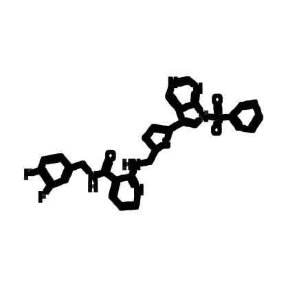 O=C(NCc1ccc(F)c(F)c1)c1cccnc1NCC1CC=C(c2cn(S(=O)(=O)c3ccccc3)c3ncncc23)S1